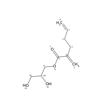 C=CCCC(=C)C(=O)OCC(O)CO